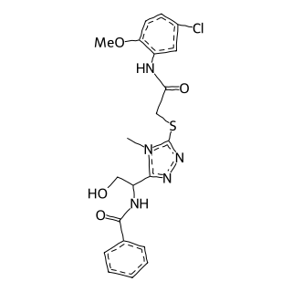 COc1ccc(Cl)cc1NC(=O)CSc1nnc(C(CO)NC(=O)c2ccccc2)n1C